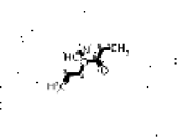 C#N.C=CCOC(=O)CC